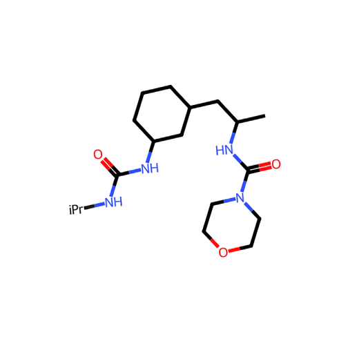 CC(C)NC(=O)NC1CCCC(CC(C)NC(=O)N2CCOCC2)C1